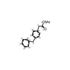 COC(=O)Cc1ccc(Cc2ccccc2)cc1